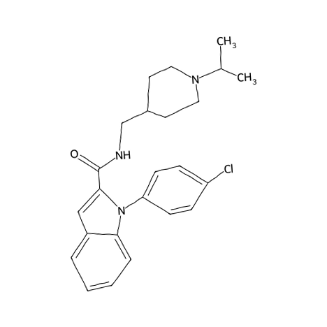 CC(C)N1CCC(CNC(=O)c2cc3ccccc3n2-c2ccc(Cl)cc2)CC1